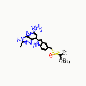 CCCCC(CC)[S+]([O-])Cc1ccc2[nH]c(-c3cc(N)nc4[nH]c(C)nc34)cc2c1